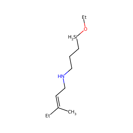 CCO[SiH2]CCCNCC=C(C)CC